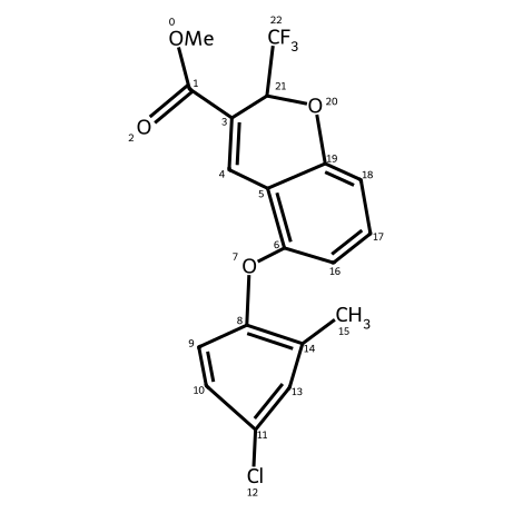 COC(=O)C1=Cc2c(Oc3ccc(Cl)cc3C)cccc2OC1C(F)(F)F